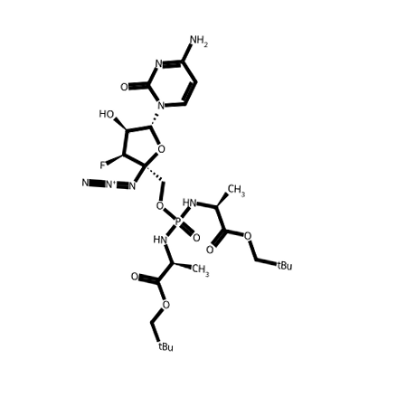 C[C@H](NP(=O)(N[C@@H](C)C(=O)OCC(C)(C)C)OC[C@@]1(N=[N+]=[N-])O[C@@H](n2ccc(N)nc2=O)[C@H](O)[C@@H]1F)C(=O)OCC(C)(C)C